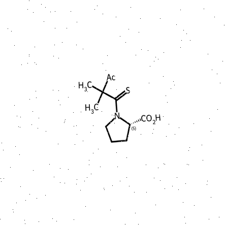 CC(=O)C(C)(C)C(=S)N1CCC[C@H]1C(=O)O